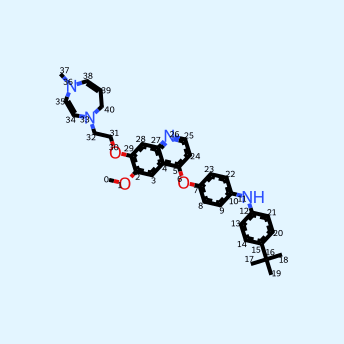 COc1cc2c(Oc3ccc(Nc4ccc(C(C)(C)C)cc4)cc3)ccnc2cc1OCCN1C=CN(C)C=CC1